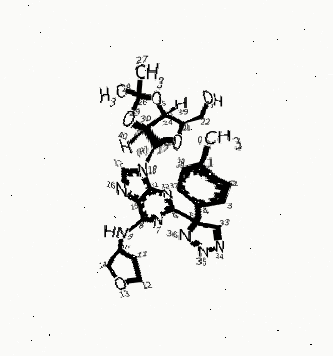 Cc1ccc(C2(c3nc(NC4CCOC4)c4ncn([C@@H]5O[C@H](CO)[C@H]6OC(C)(C)O[C@H]65)c4n3)C=NN=N2)cc1